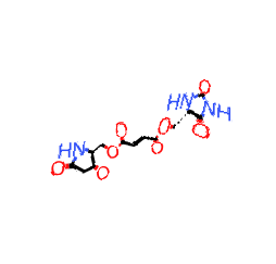 O=C1CC(=O)[C@H](COC(=O)/C=C/C(=O)OC[C@@H]2NC(=O)NC2=O)N1